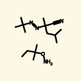 CC(C)CC(C)(C#N)N=NC(C)(C)C.CCC(C)(C)ON